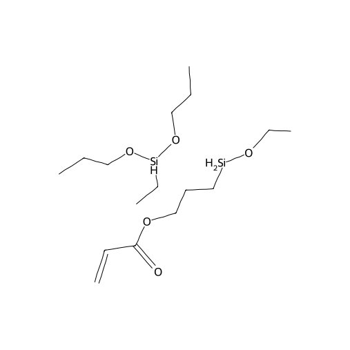 C=CC(=O)OCCC[SiH2]OCC.CCCO[SiH](CC)OCCC